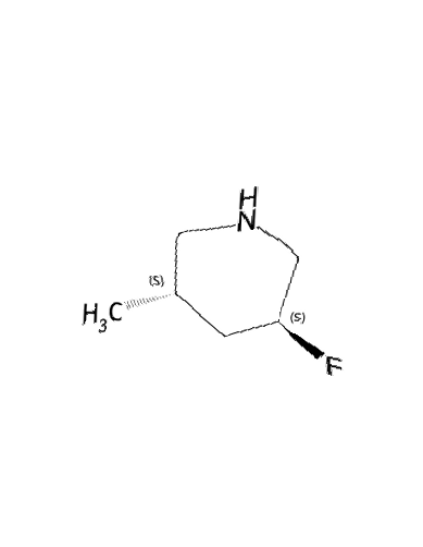 C[C@@H]1CNC[C@@H](F)C1